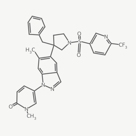 Cc1cc2c(cnn2-c2ccc(=O)n(C)c2)cc1C1(Cc2ccccc2)CCN(S(=O)(=O)c2ccc(C(F)(F)F)nc2)C1